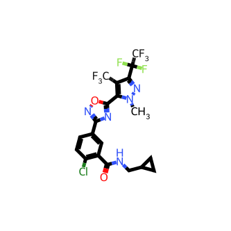 Cn1nc(C(F)(F)C(F)(F)F)c(C(F)(F)F)c1-c1nc(-c2ccc(Cl)c(C(=O)NCC3CC3)c2)no1